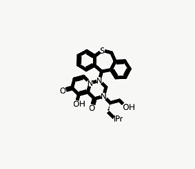 CC(C)C[C@@H](CO)N1CN(C2c3ccccc3CSc3ccccc32)n2ccc(=O)c(O)c2C1=O